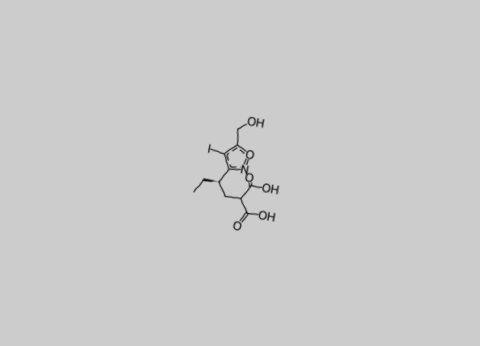 CC[C@H](CC(C(=O)O)C(=O)O)c1noc(CO)c1I